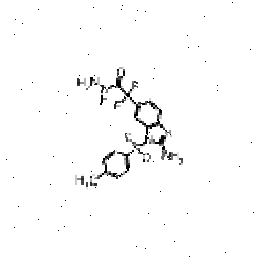 Cc1ccc(S(=O)(=O)n2c(N)nc3ccc(C(F)(F)C(=O)NN)cc32)cc1